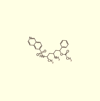 CC(=O)OC(CC(N)C[C@@H](C)NS(=O)(=O)c1ccc2cnccc2c1)c1ccccc1